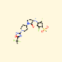 CC(F)(F)c1nc(N2CCC(N3CCC(Nc4cc(F)c(S(C)(=O)=O)cc4F)C3=O)CC2)no1